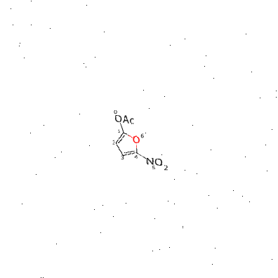 CC(=O)Oc1ccc([N+](=O)[O-])o1